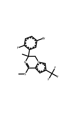 CSC1=NC(C)(c2cc(Br)ccc2F)Cn2cc(C(F)(F)F)cc21